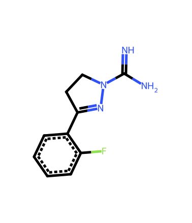 N=C(N)N1CCC(c2ccccc2F)=N1